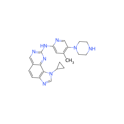 Cc1cc(Nc2ncc3ccc4ncn(C5CC5)c4c3n2)ncc1N1CCNCC1